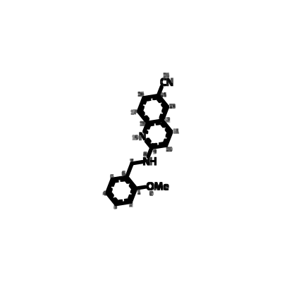 COc1ccccc1CNc1ccc2cc(C#N)ccc2n1